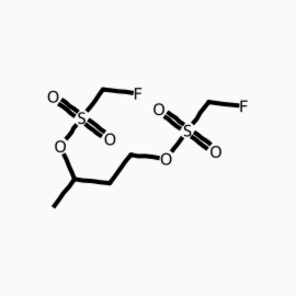 CC(CCOS(=O)(=O)CF)OS(=O)(=O)CF